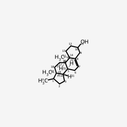 CC1CC[C@H]2[C@@H]3CC=C4CC(O)CC[C@]4(C)[C@@H]3CC[C@]12C